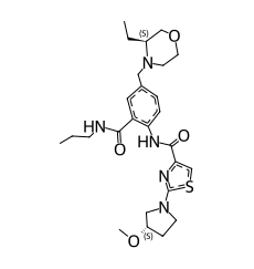 CCCNC(=O)c1cc(CN2CCOC[C@@H]2CC)ccc1NC(=O)c1csc(N2CC[C@H](OC)C2)n1